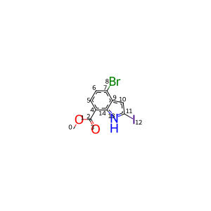 COC(=O)c1ccc(Br)c2cc(I)[nH]c12